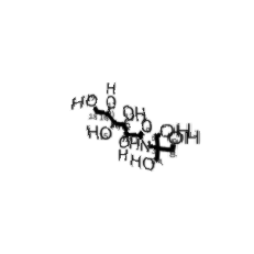 O=C(NC(CO)(CO)CO)[C@H](O)[C@@H](O)[C@H](O)[C@H](O)CO